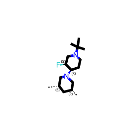 C[C@@H]1C[C@H](C)CN([C@@H]2CCN(C(C)(C)C)C[C@@H]2F)C1